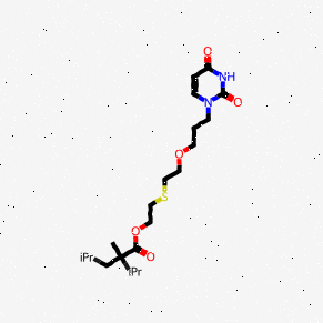 CC(C)CC(C)(C(=O)OCCSCCOCCCn1ccc(=O)[nH]c1=O)C(C)C